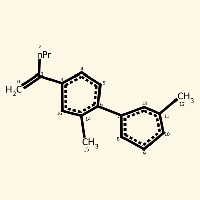 C=C(CCC)c1ccc(-c2cccc(C)c2)c(C)c1